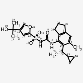 Cc1cc2c(c(NC(=O)NS(=O)(=O)c3cc(C(C)(C)O)co3)c1[C@@H](C)C1CC1)CCC2